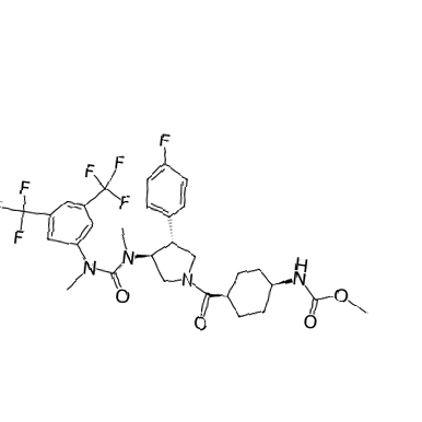 COC(=O)N[C@H]1CC[C@@H](C(=O)N2C[C@@H](N(C)C(=O)N(C)c3cc(C(F)(F)F)cc(C(F)(F)F)c3)[C@H](c3ccc(F)cc3)C2)CC1